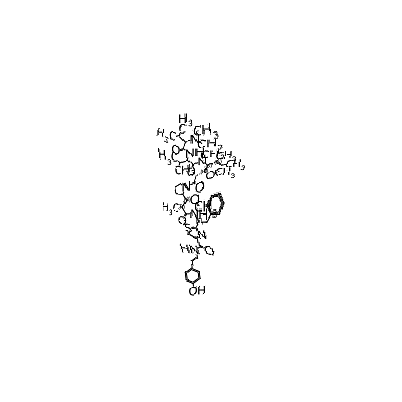 CC[C@H](C)[C@@H]([C@@H](CC(=O)N1CCCC1[C@H](OC)[C@@H](C)C(=O)N[C@@H](Cc1ccccc1)c1nc(C(=O)NCCc2ccc(O)cc2)cs1)OC)N(C)C(=O)C(NC(=O)C(C(C)C)N(C)C)C(C)C